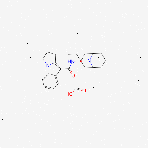 CCCN1C2CCCC1CC(NC(=O)c1c3n(c4ccccc14)CCC3)C2.O=CO